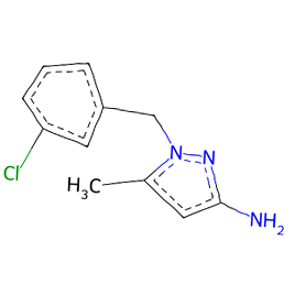 Cc1cc(N)nn1Cc1cccc(Cl)c1